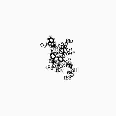 CN(C(=O)OC(C)(C)C)[C@@H]1[C@@H](O)[C@@H](O[C@@H]2[C@@H](O)[C@H](C3OC(CNS(=O)(=O)c4ccccc4[N+](=O)[O-])=CC[C@H]3NC(=O)OC(C)(C)C)[C@@H](NC(=O)OC(C)(C)C)C[C@H]2NC(=O)C2(O)CC(NC(=O)OC(C)(C)C)C2)OC[C@]1(C)O